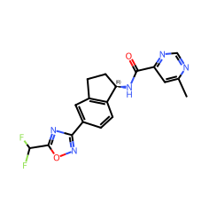 Cc1cc(C(=O)N[C@@H]2CCc3cc(-c4noc(C(F)F)n4)ccc32)ncn1